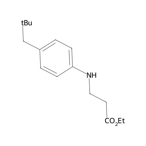 CCOC(=O)CCNc1ccc(CC(C)(C)C)cc1